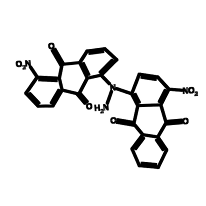 NN(c1cccc2c1C(=O)c1cccc([N+](=O)[O-])c1C2=O)c1ccc([N+](=O)[O-])c2c1C(=O)c1ccccc1C2=O